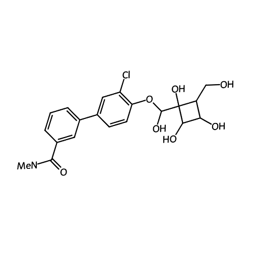 CNC(=O)c1cccc(-c2ccc(OC(O)C3(O)C(O)C(O)C3CO)c(Cl)c2)c1